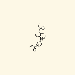 C=CC(=O)N1CCC(N(CC)/C(C=C)=C(\C)CC(CC)OC)C1